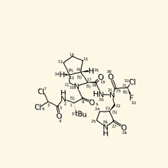 CC(C)(C)[C@H](NC(=O)C(Cl)Cl)C(=O)N1C[C@@H]2CCC[C@@H]2[C@H]1C(=O)NN(C[C@@H]1CCNC1=O)C(=O)[C@H](F)Cl